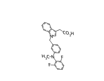 CN(c1cccc(Cn2cc(CC(=O)O)c3ccccc32)c1)c1c(F)cccc1F